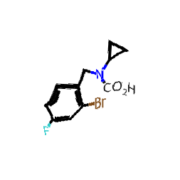 O=C(O)N(Cc1ccc(F)cc1Br)C1CC1